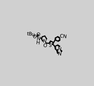 CC(C)(C)OC(=O)N[C@@H]1CCCN(C(=O)c2cc(-c3ccc(C#N)cc3)c(-c3ccn4cncc4c3)s2)C1